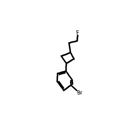 FCCC1CC(c2cccc(Br)c2)C1